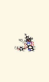 O=C(N[C@H](C(=O)O)C12C[C@@H]3C[C@@H](CC(O)(C3)C1)C2)c1ccc2cccnc2c1OCc1ccc(OC(F)(F)F)cc1